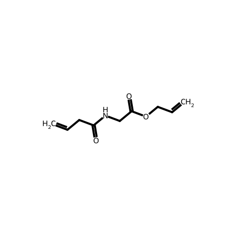 C=CCOC(=O)CNC(=O)CC=C